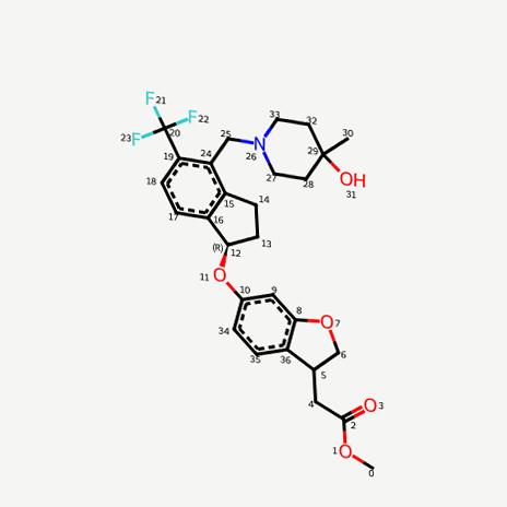 COC(=O)CC1COc2cc(O[C@@H]3CCc4c3ccc(C(F)(F)F)c4CN3CCC(C)(O)CC3)ccc21